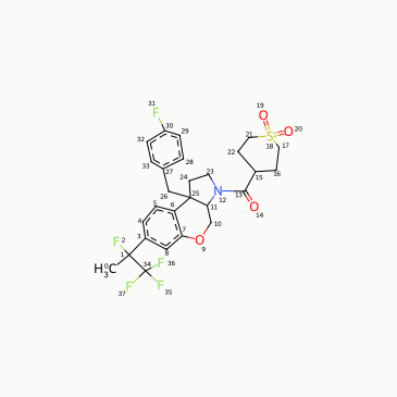 CC(F)(c1ccc2c(c1)OCC1N(C(=O)C3CCS(=O)(=O)CC3)CCC21Cc1ccc(F)cc1)C(F)(F)F